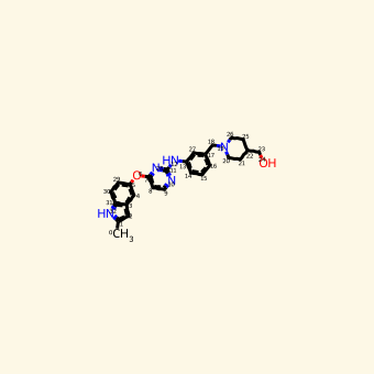 Cc1cc2cc(Oc3ccnc(Nc4cccc(CN5CCC(CO)CC5)c4)n3)ccc2[nH]1